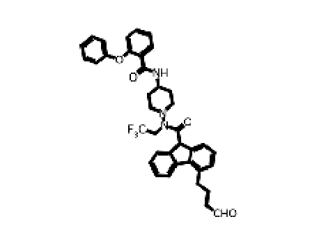 O=CCCCc1cccc2c1-c1ccccc1C2C(=O)N(CC(F)(F)F)N1CCC(NC(=O)c2ccccc2Oc2ccccc2)CC1